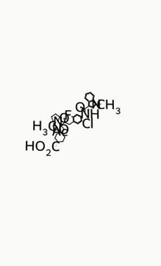 CC(=O)N(C)C(O[C@H]1CC[C@H](C(=O)O)CC1)(C(=O)Cc1cc(Cl)c(NC(=O)c2cn(C)c3ccccc23)cc1F)N1CCCC1